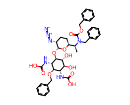 C[C@@H]([C@@H]1CC[C@@H](N=[N+]=[N-])[C@@H](O[C@H]2[C@H](O)[C@@H](O)[C@H](NC(=O)O)[C@@H](OCc3ccccc3)[C@@H]2NC(=O)O)O1)N(Cc1ccccc1)C(=O)OCc1ccccc1